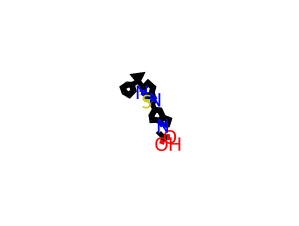 O=C(O)Cn1ccc2cc(-c3nc4ccc(C5(c6ccccc6)CC5)nc4s3)ccc21